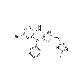 Cc1noc(Cc2csc(Nc3ncc(Br)cc3Oc3ccccc3)n2)n1